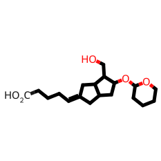 O=C(O)CCCC=C1CC2CC(OC3CCCCO3)C(CO)C2C1